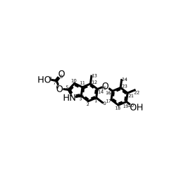 Cc1cc2[nH]c(OC(=O)O)cc2c(C)c1Oc1ccc(O)c(C)c1C